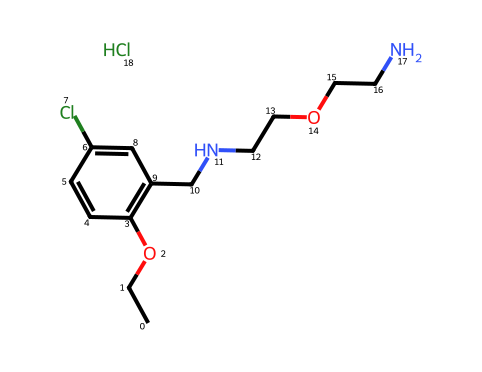 CCOc1ccc(Cl)cc1CNCCOCCN.Cl